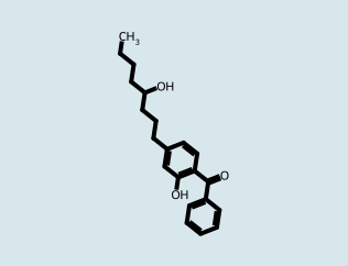 CCCCC(O)CCCc1ccc(C(=O)c2ccccc2)c(O)c1